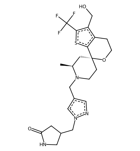 C[C@H]1C[C@@]2(CCN1Cc1cnn(CC3CNC(=O)C3)c1)OCCc1c2sc(C(F)(F)F)c1CO